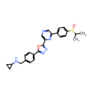 CC(C)[S+]([O-])c1ccc(-c2cncc(-c3nnc(-c4ccc(CNC5CC5)cc4)o3)n2)cc1